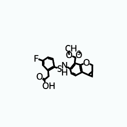 COC(=O)c1c(NSc2ccc(F)cc2CC(=O)O)ccc2c1OCC1CC21